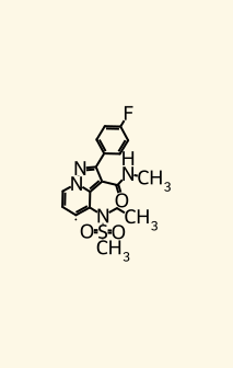 CCN(c1[c]ccn2nc(-c3ccc(F)cc3)c(C(=O)NC)c12)S(C)(=O)=O